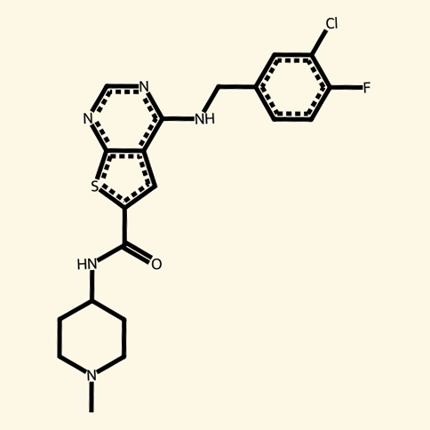 CN1CCC(NC(=O)c2cc3c(NCc4ccc(F)c(Cl)c4)ncnc3s2)CC1